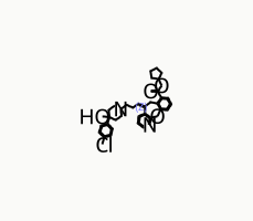 O=C(OC1CCCC1)c1cccc2c1C/C(=C/CCN1CCC(O)(c3ccc(Cl)cc3)CC1)c1cccnc1O2